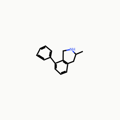 CC1Cc2cccc(-c3ccccc3)c2CN1